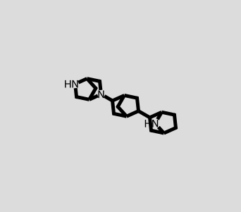 C1CC2NC1CC2C1CC2CC1CC2N1CC2CC1CN2